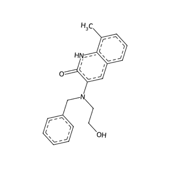 Cc1cccc2cc(N(CCO)Cc3ccccc3)c(=O)[nH]c12